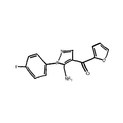 Nc1c(C(=O)c2ccco2)cnn1-c1ccc(F)cc1